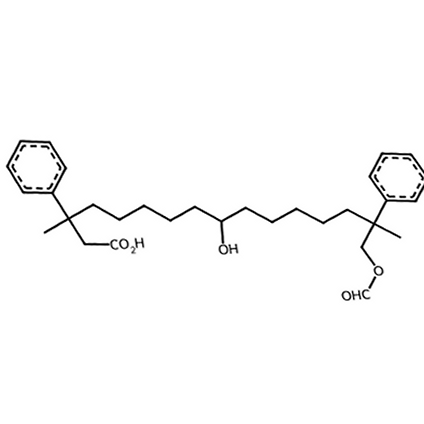 CC(CCCCCC(O)CCCCCC(C)(CC(=O)O)c1ccccc1)(COC=O)c1ccccc1